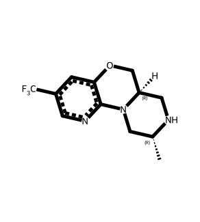 C[C@@H]1CN2c3ncc(C(F)(F)F)cc3OC[C@H]2CN1